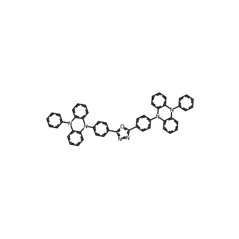 c1ccc(N2c3ccccc3N(c3ccc(-c4nnc(-c5ccc(N6c7ccccc7N(c7ccccc7)c7ccccc76)cc5)o4)cc3)c3ccccc32)cc1